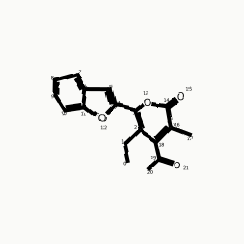 CCc1c(-c2cc3ccccc3o2)oc(=O)c(C)c1C(C)=O